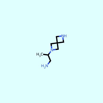 CC(CN)N1CC2(CNC2)C1